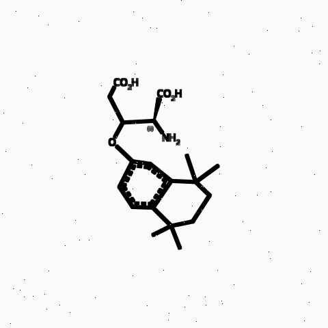 CC1(C)CCC(C)(C)c2cc(OC(CC(=O)O)[C@H](N)C(=O)O)ccc21